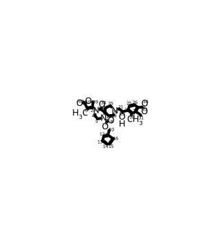 CC1=C(N2CCN(C(=O)OCc3ccccc3)C3(CCN(C[C@H](O)c4ccc5c(c4C)COC5=O)CC3)C2=O)COC1=O